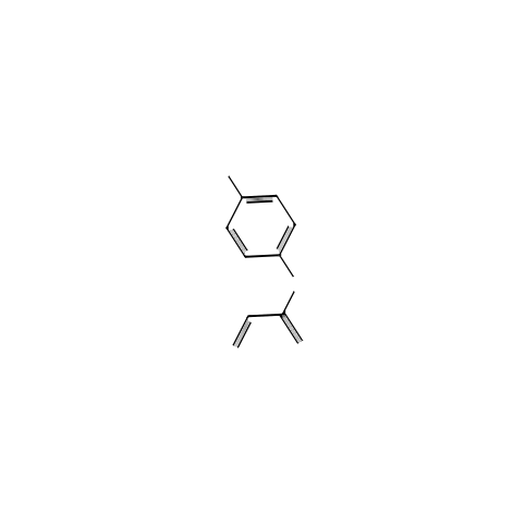 C=CC(=C)Sc1ccc(O)cc1